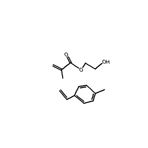 C=C(C)C(=O)OCCO.C=Cc1ccc(C)cc1